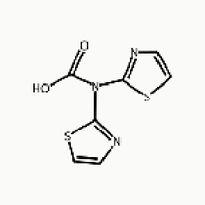 O=C(O)N(c1nccs1)c1nccs1